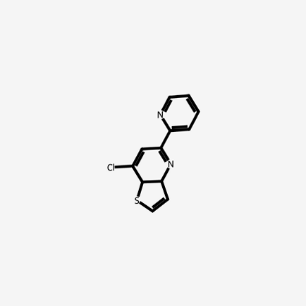 ClC1=CC(c2ccccn2)=NC2C=CSC12